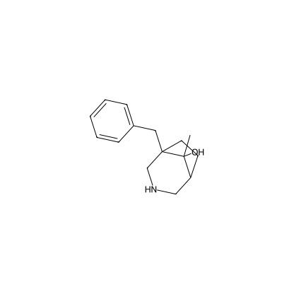 CC1(O)C2CCC1(Cc1ccccc1)CNC2